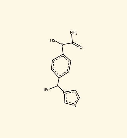 CC(C)C(c1ccc(N(S)C(N)=O)cc1)n1ccnc1